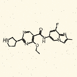 CCOc1nc(C2CCNC2)ncc1C(=O)Nc1cc(F)c2nc(C)cn2c1